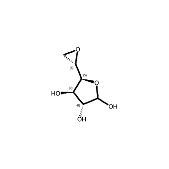 OC1O[C@H]([C@@H]2CO2)[C@H](O)[C@H]1O